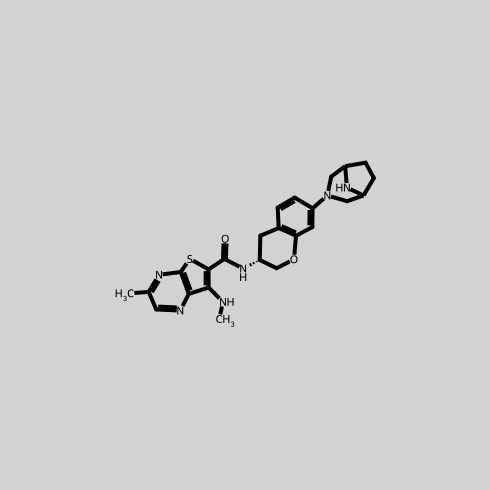 CNc1c(C(=O)N[C@H]2COc3cc(N4CC5CCC(C4)N5)ccc3C2)sc2nc(C)cnc12